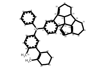 CC1=C(c2cc(N(c3ccccc3)c3ccc4c(c3)C3=CCCC5C6CCCC7=C6C4(c4ccccc47)C35)ccc2C)CCCC1